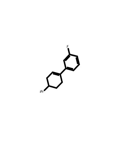 CC(C)C1CC=C(c2cccc(F)c2)CC1